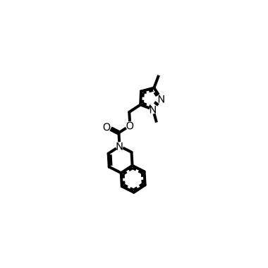 Cc1cc(COC(=O)N2C=Cc3ccccc3C2)n(C)n1